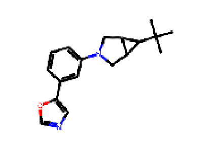 CC(C)(C)C1C2CN(c3cccc(-c4cnco4)c3)CC21